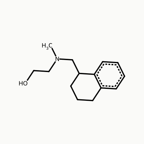 CN(CCO)CC1CCCc2ccccc21